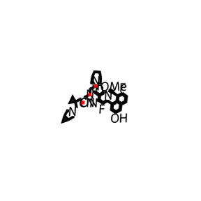 C#Cc1c(F)ccc2cc(O)cc(-c3nc(OC)c4c(N5CC6CCC(C5)N6C(=O)CCCC#N)nc(OCC5(CN6CC7CC7C6)CC5)nc4c3F)c12